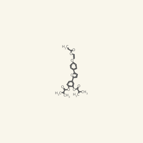 C=CC(=O)O/C=C\Oc1ccc(-c2ccc(-c3ccc(OC(=O)C(=C)C)c(OC(=O)C(=C)C)c3)o2)cc1